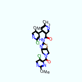 COc1ncc(Cl)c(C(=O)N2Cc3nc(NC(=O)c4cnc(C)cc4-c4cc(Cl)ncc4OC)sc3C2)n1